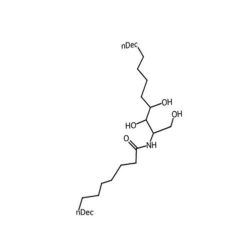 CCCCCCCCCCCCCCCCC(=O)NC(CO)C(O)C(O)CCCCCCCCCCCCCC